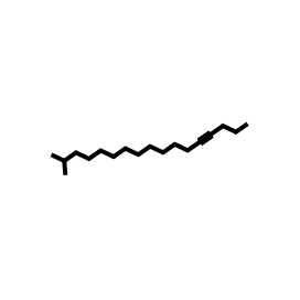 CCCC#CCCCCCCCCCCC(C)C